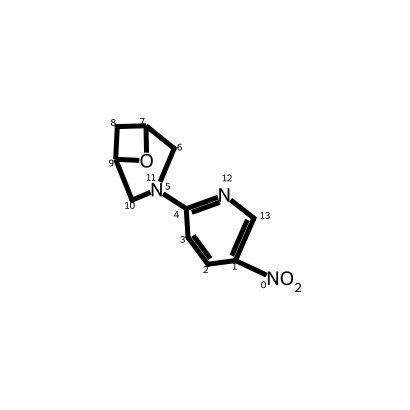 O=[N+]([O-])c1ccc(N2CC3CC(C2)O3)nc1